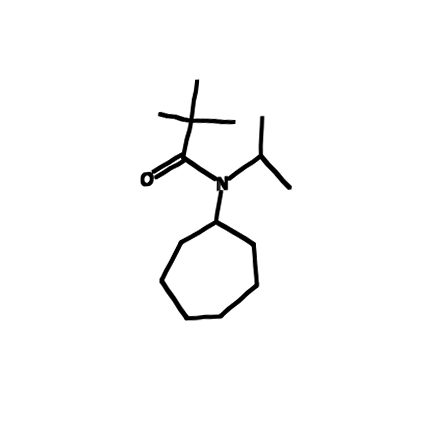 CC(C)N(C(=O)C(C)(C)C)C1CCCCCC1